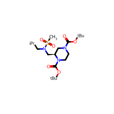 CC(C)CN(C[C@H]1CN(C(=O)OC(C)(C)C)CCN1C(=O)OC(C)(C)C)S(C)(=O)=O